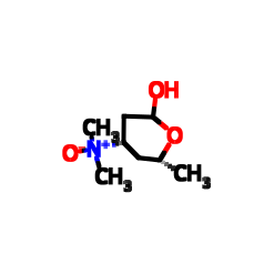 C[C@@H]1C[C@H]([N+](C)(C)[O-])CC(O)O1